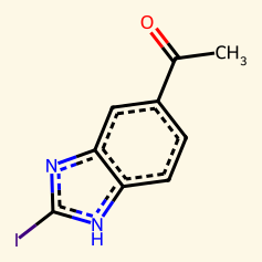 CC(=O)c1ccc2[nH]c(I)nc2c1